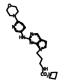 C1CCC1.O=C(O)NCCCn1ccc2cnc(Nc3ccc(N4CCOCC4)nc3)nc21